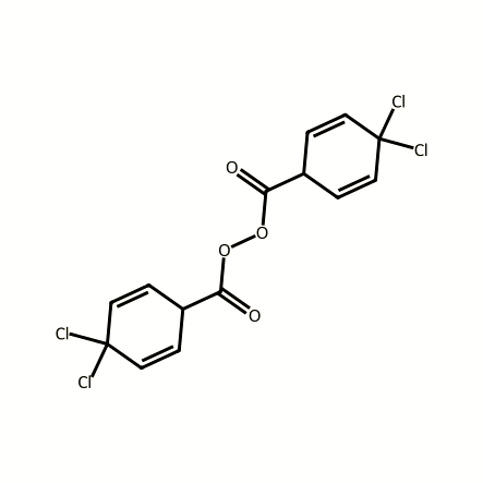 O=C(OOC(=O)C1C=CC(Cl)(Cl)C=C1)C1C=CC(Cl)(Cl)C=C1